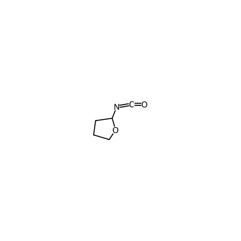 O=C=NC1CCCO1